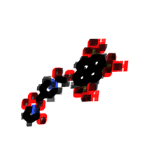 O=C(ON1C(=O)CCC1=O)C1CCN(C(=O)COc2cc(S(=O)(=O)O)c3ccc4c(S(=O)(=O)O)cc(S(=O)(=O)O)c5ccc2c3c54)CC1